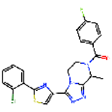 CC1c2nnc(-c3csc(-c4ccccc4Cl)n3)n2CCN1C(=O)c1ccc(F)cc1